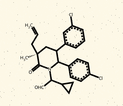 C=CC[C@@]1(C)CC(c2cccc(Cl)c2)C(c2ccc(Cl)cc2)N(C(C=O)C2CC2)C1=O